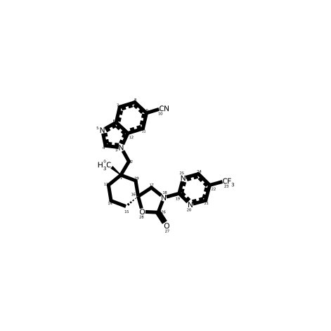 C[C@]1(Cn2cnc3ccc(C#N)cc32)CCC[C@@]2(CN(c3ncc(C(F)(F)F)cn3)C(=O)O2)C1